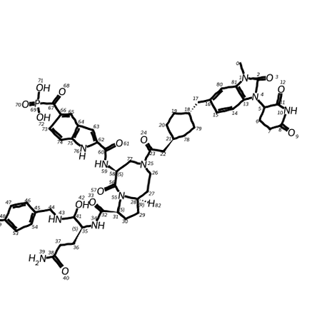 Cn1c(=O)n(C2CCC(=O)NC2=O)c2ccc(C[C@H]3CC[C@H](CC(=O)N4CC[C@H]5CC[C@@H](C(=O)N[C@@H](CCC(N)=O)C(O)NCc6ccc(S(C)(=O)=O)cc6)N5C(=O)[C@@H](NC(=O)c5cc6cc(C(=O)P(=O)(O)O)ccc6[nH]5)C4)CC3)cc21